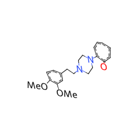 COc1ccc(CCN2CCN(c3cccccc3=O)CC2)cc1OC